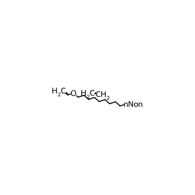 C=C.C=COCCCCCCCCCCCCCCCCCC